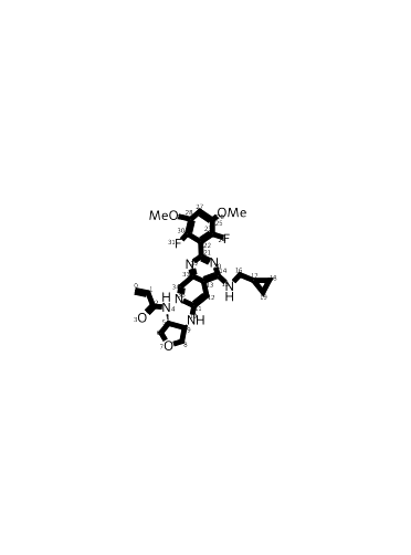 C=CC(=O)N[C@H]1COC[C@H]1Nc1cc2c(NCC3CC3)nc(-c3c(F)c(OC)cc(OC)c3F)nc2cn1